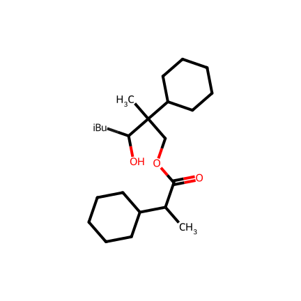 CCC(C)C(O)C(C)(COC(=O)C(C)C1CCCCC1)C1CCCCC1